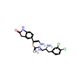 C=C(NC[C@@H](N)Cc1ccc(Cl)c(Cl)c1)S/C(=C\N)c1ccc2c(c1)CC(=O)N2